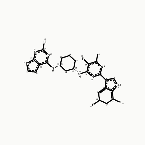 Cc1nc(-c2c[nH]c3c2=CC(F)CC=3F)nc(N[C@H]2CCC[C@@H](Nc3nc(Cl)nc4sccc34)C2)c1F